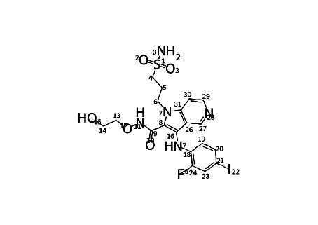 NS(=O)(=O)CCCn1c(C(=O)NOCCO)c(Nc2ccc(I)cc2F)c2cnccc21